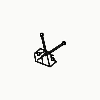 O=C1CC(=O)OC2CC3CC(CC(C3)O1)C2